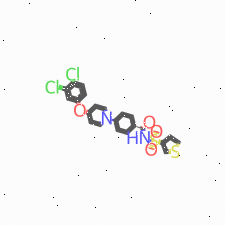 O=C(NS(=O)(=O)C1CCSC1)[C@H]1CC[C@H](N2CCC(Oc3ccc(Cl)c(Cl)c3)CC2)CC1